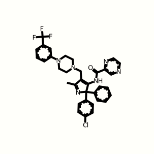 CC1=NC(c2ccccc2)(c2ccc(Cl)cc2)C(NC(=O)c2cnccn2)=C1CN1CCN(c2cccc(C(F)(F)F)c2)CC1